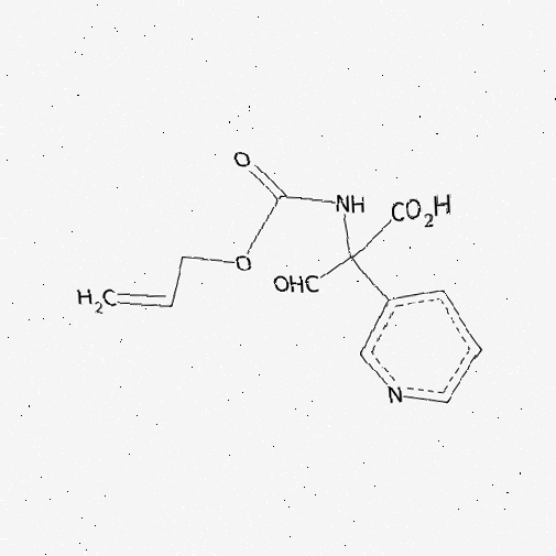 C=CCOC(=O)NC(C=O)(C(=O)O)c1cccnc1